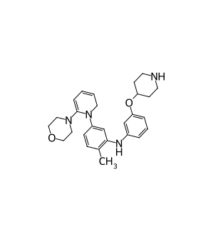 Cc1ccc(N2CC=CC=C2N2CCOCC2)cc1Nc1cccc(OC2CCNCC2)c1